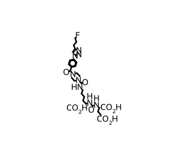 O=C(O)CC[C@H](NC(=O)N[C@@H](CCCCNC(=O)N1CCN(C(=O)c2ccc(-n3cc(CCCF)nn3)cc2)CC1)C(=O)O)C(=O)O